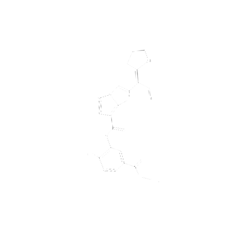 COC(=O)c1cnc(C)c(NC(=O)c2cnn3cc(/C(C=N)=C4\CCCN4)sc23)c1